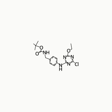 CCOc1nc(Cl)nc(Nc2ccc(CNC(=O)OC(C)(C)C)cc2)n1